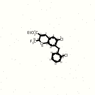 CCOC(=O)C1=Cc2cc(Cl)c(Cc3ccccc3Cl)cc2OC1C(F)(F)F